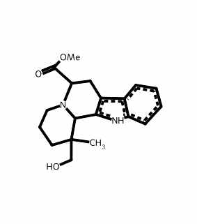 COC(=O)C1Cc2c([nH]c3ccccc23)C2N1CCCC2(C)CO